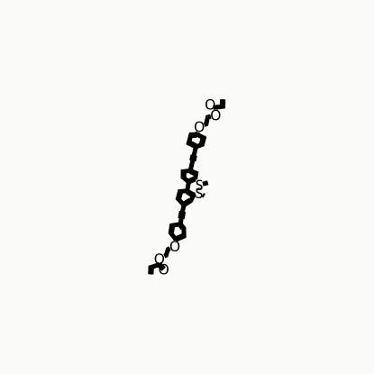 C=CC(=O)OCCOc1ccc(C#Cc2ccc(-c3ccc(C#Cc4ccc(OCCOC(=O)C=C)cc4)cc3SC)c(SC)c2)cc1